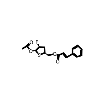 CC(=O)O[C@@H]1S[C@H](COC(=O)/C=C/c2ccccc2)C[C@@H]1F